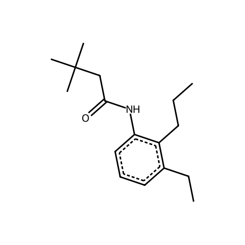 CCCc1c(CC)cccc1NC(=O)CC(C)(C)C